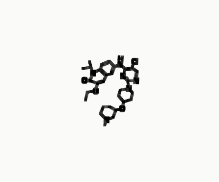 CCOc1cc2cc(Nc3nc(N4CCC(OC5CCCN(C)C5)CC4)ncc3Cl)ccc2n(C(C)C)c1=O